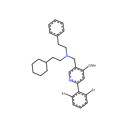 CCc1cccc(CC)c1-c1cc(OC)c(CN(CCc2ccccc2)CCC2CCCCC2)cn1